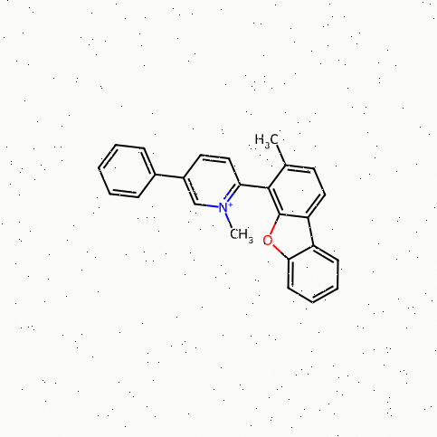 Cc1ccc2c(oc3ccccc32)c1-c1ccc(-c2ccccc2)c[n+]1C